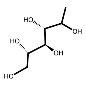 CC(O)[C@@H](O)[C@@H](O)[C@@H](O)CO